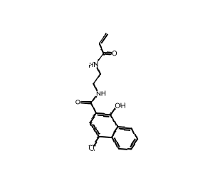 C=CC(=O)NCCNC(=O)c1cc(Cl)c2ccccc2c1O